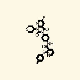 Cc1ccc(Sc2ncccc2C(=O)NC2CCC(n3c(=O)c4cc(F)cnc4n(C4CCSCC4)c3=O)CC2)cc1